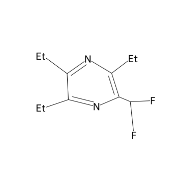 CCc1nc(CC)c(C(F)F)nc1CC